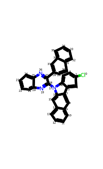 Clc1ccc2c(c1)c1cc3ccccc3cc1n2-c1nc2ccccc2nc1-c1ccc2ccccc2c1